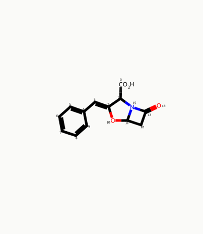 O=C(O)C1C(=Cc2ccccc2)OC2CC(=O)N21